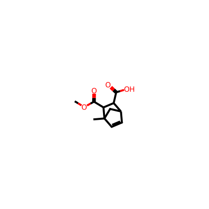 COC(=O)C1C(C(=O)O)C2C=CC1(C)C2